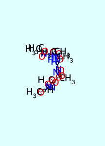 CCC(CC)C1CC(=O)N(CCCCCC(=O)NC(C(=O)N[C@@H](C)C(=O)Nc2ccc(C3=CN4C(=O)c5cc(OC)c(OCCCOc6cc7c(cc6OC)C(=O)N6C=C(c8ccc(OC)cc8)C[C@H]6C=N7)cc5N=CC4C3)cc2)C(C)C)C1=O